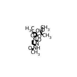 CC[C@H]1O[C@@H](n2ccc(NC(C)=O)nc2=O)[C@@H](OC(C)COC)C1O